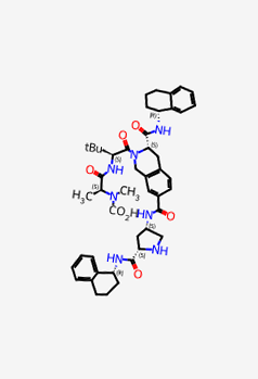 C[C@@H](C(=O)N[C@H](C(=O)N1Cc2cc(C(=O)N[C@@H]3CN[C@H](C(=O)N[C@@H]4CCCc5ccccc54)C3)ccc2C[C@H]1C(=O)N[C@@H]1CCCc2ccccc21)C(C)(C)C)N(C)C(=O)O